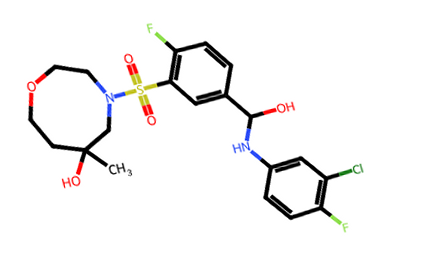 CC1(O)CCOCCN(S(=O)(=O)c2cc(C(O)Nc3ccc(F)c(Cl)c3)ccc2F)C1